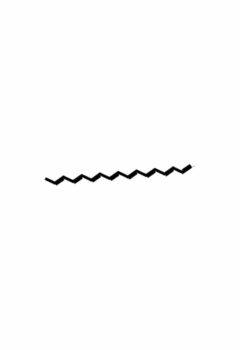 [CH]=CC=CC=CC=CC=CC=CC=CC=CC